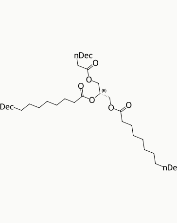 CCCCCCCCCCCCCCCCCC(=O)OC[C@@H](COC(=O)CCCCCCCCCCC)OC(=O)CCCCCCCCCCCCCCCCC